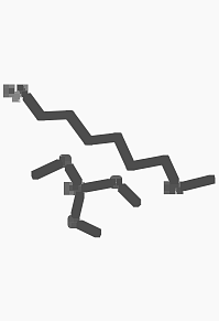 CNCCCCCCN.CO[SiH](OC)OC